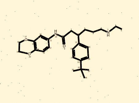 CCNCCCC(CC(=O)Nc1ccc2c(c1)OCCO2)c1ccc(C(C)(C)C)cc1